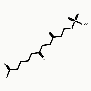 CCCC(=O)CCCCC(=O)CCC(=O)CCOS(=O)(=O)OC